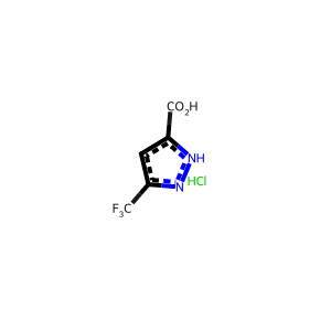 Cl.O=C(O)c1cc(C(F)(F)F)n[nH]1